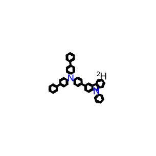 [2H]c1ccc2c(c1)c1cc(-c3ccc(N(c4ccc(-c5ccccc5)cc4)c4ccc(-c5ccccc5)cc4)cc3)ccc1n2-c1ccccc1